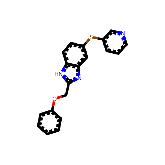 c1ccc(OCc2nc3cc(Sc4cccnc4)ccc3[nH]2)cc1